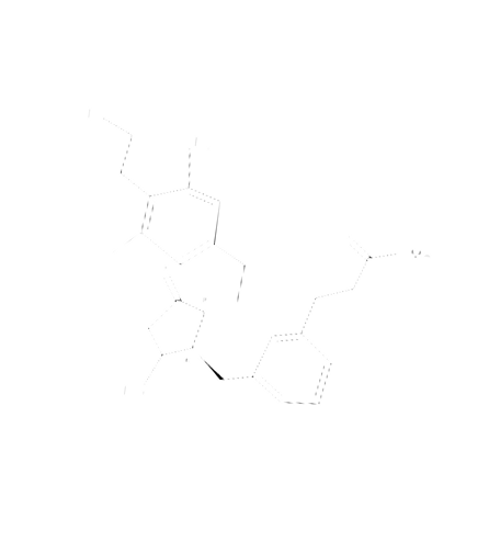 COC(=O)CCc1cccc(C[C@H]2C(O)CC(=O)[C@@H]2CCc2cc(C)c(CCO)c(C)c2)c1